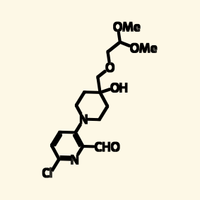 COC(COCC1(O)CCN(c2ccc(Cl)nc2C=O)CC1)OC